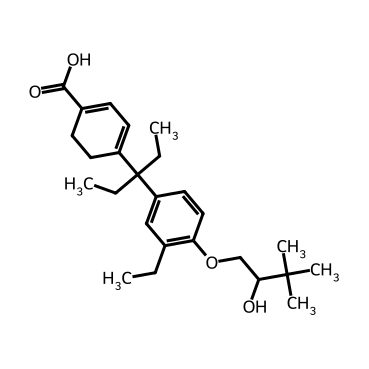 CCc1cc(C(CC)(CC)C2=CC=C(C(=O)O)CC2)ccc1OCC(O)C(C)(C)C